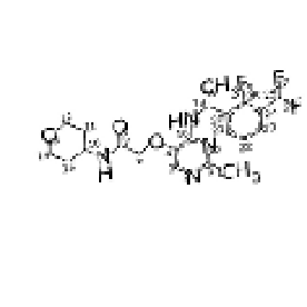 Cc1ncc(OCC(=O)NC2CCOCC2)c(N[C@H](C)c2cccc(C(F)F)c2F)n1